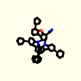 N#Cc1cc(-n2c3ccc(-c4ccccc4)cc3c3cc(-c4ccccc4)ccc32)c(-n2c3ccc(-c4ccccc4)cc3c3cc(-c4ccccc4)ccc32)c2c1oc1c(-c3ccccc3)cccc12